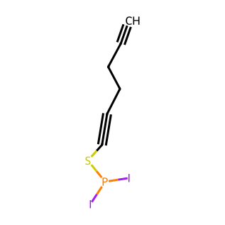 C#CCCC#CSP(I)I